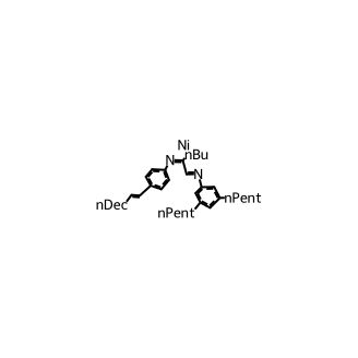 CCCCCCCCCCC=Cc1ccc(N=C(C=Nc2cc(CCCCC)cc(CCCCC)c2)CCCC)cc1.[Ni]